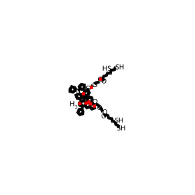 CC1=C(c2cc3ccccc3cc2C(=O)c2ccccc2)C(c2ccc(OCCOCCOC(=O)CCCCC(S)CCS)cc2)(c2ccc(OCCOCCOC(=O)CCCCC(S)CCS)cc2)c2cc(N(c3ccccc3)c3ccccc3)ccc21